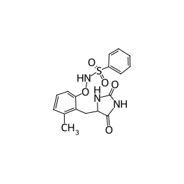 Cc1cccc(ONS(=O)(=O)c2ccccc2)c1CC1NC(=O)NC1=O